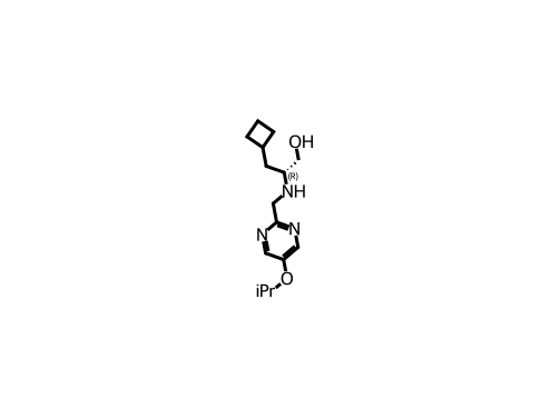 CC(C)Oc1cnc(CN[C@@H](CO)CC2CCC2)nc1